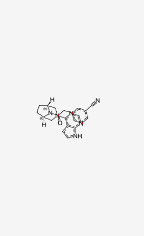 N#Cc1cccc(CC(=O)N2[C@@H]3CC[C@@H]2CN(c2ncnc4[nH]ccc24)C3)c1